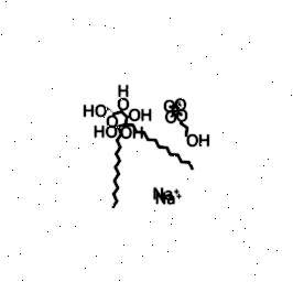 CCCCCCCCCCCCC1(O)O[C@H](CO)[C@@H](O)[C@H](O)[C@]1(O)CCCCCCCCCCCC.O=P([O-])([O-])OCCCO.[Na+].[Na+]